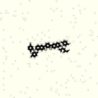 C=C(C)/C(=C\C(C)=C/C)N(c1ccc2cc3c(cc2c1)oc1c3ccc2c3cc4ccc(N(c5cc(C)ccc5C)c5cc(C)ccc5C)cc4cc3oc21)c1cc(C)ccc1C